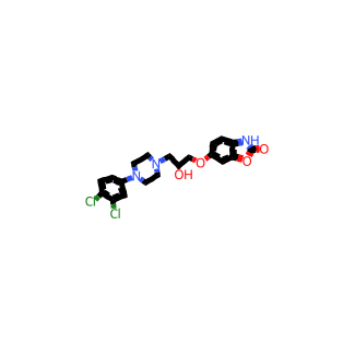 O=c1[nH]c2ccc(OC[C@@H](O)CN3CCN(c4ccc(Cl)c(Cl)c4)CC3)cc2o1